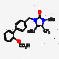 CCCCc1c(C(F)(F)F)n(CCCC)c(=O)n1Cc1ccc(-c2ccccc2OC(=O)O)cc1